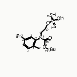 Cc1ccc(C(C)C)cc1N(CCOP(O)(=S)S)C(=O)OC(C)(C)C